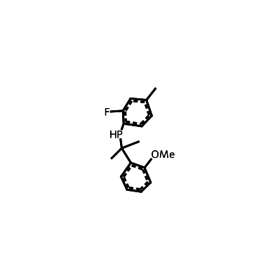 COc1ccccc1C(C)(C)Pc1ccc(C)cc1F